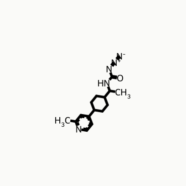 Cc1cc(C2CCC(C(C)NC(=O)N=[N+]=[N-])CC2)ccn1